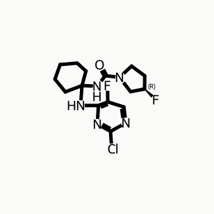 O=C(NC1(Nc2nc(Cl)ncc2F)CCCCC1)N1CC[C@@H](F)C1